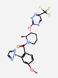 COc1ccc(C(=O)N2CCC[C@@H](Oc3ncc(C(F)(F)F)nn3)[C@@H]2C)c(-n2nccn2)c1